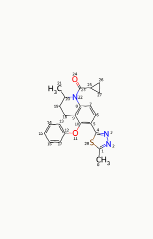 Cc1nnc(-c2ccc3c(c2Oc2ccccc2)CCC(C)N3C(=O)C2CC2)s1